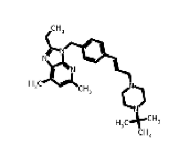 CCc1nc2c(C)cc(C)nc2n1Cc1ccc(C=CCN2CCN(C(C)(C)C)CC2)cc1